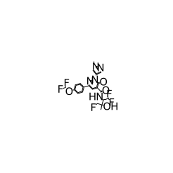 Cn1cc(-n2nc(-c3ccc(OC(F)F)cc3)cc(C(=O)NC(C(F)F)C(C)(O)CF)c2=O)cn1